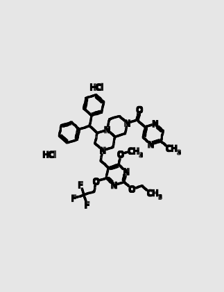 CCOc1nc(OC)c(CN2CC3CN(C(=O)c4cnc(C)cn4)CCN3C(C(c3ccccc3)c3ccccc3)C2)c(OCC(F)(F)F)n1.Cl.Cl